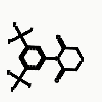 O=C1CSCC(=O)N1c1cc(C(F)(F)F)cc(C(F)(F)F)c1